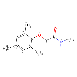 CNC(=O)COc1c(C)cc(C)cc1C